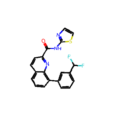 O=C(Nc1nccs1)c1ccc2cccc(-c3cccc(C(F)F)c3)c2n1